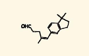 C/C(=C/c1ccc2c(c1)CCC2(C)C)CCC=O